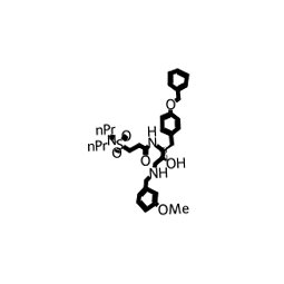 CCCN(CCC)S(=O)(=O)CCC(=O)N[C@@H](Cc1ccc(OCc2ccccc2)cc1)[C@@H](O)CNCc1cccc(OC)c1